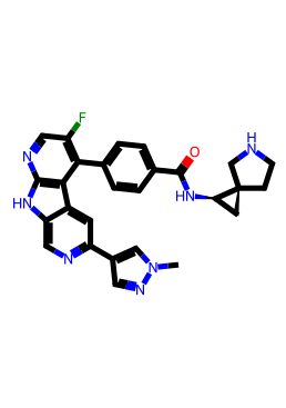 Cn1cc(-c2cc3c(cn2)[nH]c2ncc(F)c(-c4ccc(C(=O)N[C@@H]5C[C@@]56CCNC6)cc4)c23)cn1